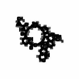 CCn1c(-c2cc([C@H]3CCN4CCOC[C@@H]4C3)cnc2[C@H](C)OC)c2c3cc(ccc31)-c1csc(n1)C[C@H](NC(=O)[C@H]1C[C@@H]1C)C(=O)N1CCC[C@H](N1)C(=O)OCC(C)(C)C2